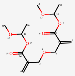 C=C(COCC(=C)C(=O)OC(C)OC)C(=O)OC(C)OC